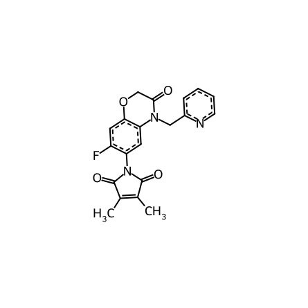 CC1=C(C)C(=O)N(c2cc3c(cc2F)OCC(=O)N3Cc2ccccn2)C1=O